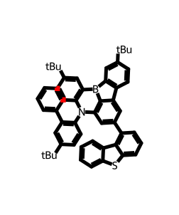 CC(C)(C)c1ccc2c(c1)B1c3cc(C(C)(C)C)ccc3N(c3ccc(C(C)(C)C)cc3-c3ccccc3)c3cc(-c4cccc5sc6ccccc6c45)cc-2c31